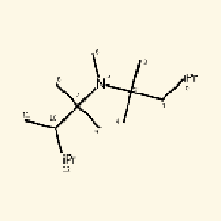 CC(C)CC(C)(C)N(C)C(C)(C)C(C)C(C)C